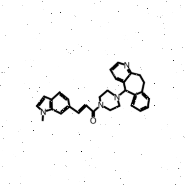 Cn1ccc2ccc(C=CC(=O)N3CCN(C4c5ccccc5CCc5ncccc54)CC3)cc21